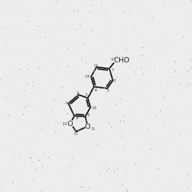 O=Cc1ccc(-c2ccc3c(c2)OCO3)cc1